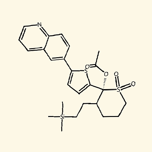 CC(=O)O[C@@]1(c2ccc(-c3ccc4ncccc4c3)s2)C(CC[Si](C)(C)C)CCCS1(=O)=O